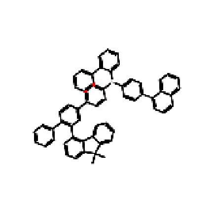 CC1(C)c2ccccc2-c2c(-c3cc(-c4ccc(N(c5ccc(-c6cccc7ccccc67)cc5)c5ccccc5-c5ccccc5)cc4)ccc3-c3ccccc3)cccc21